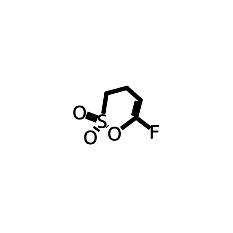 O=S1(=O)CCC=C(F)O1